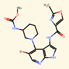 Cc1nc(C(=O)Nc2c[nH]c3ncc(Br)c(N4CCCC(NC(=O)OC(C)(C)C)C4)c23)co1